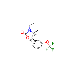 CCN1C(=O)O[C@H](c2cccc(OC(F)(F)F)c2)[C@@H]1C